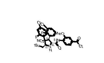 CCC(=O)c1ccc(NC(=O)[C@@H]2N[C@@H](CC(C)(C)C)[C@](C#N)(c3ccc(Cl)cc3F)[C@H]2c2cccc(Cl)c2F)c(OC)c1